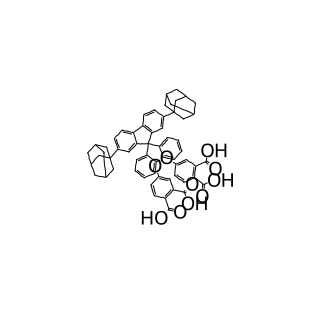 O=C(O)c1ccc(Oc2ccccc2C2(c3ccccc3Oc3ccc(C(=O)O)c(C(=O)O)c3)c3cc(C45CC6CC(CC(C6)C4)C5)ccc3-c3ccc(C45CC6CC(CC(C6)C4)C5)cc32)cc1C(=O)O